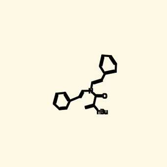 C=C(CCCC)C(=O)N(C=Cc1ccccc1)C=Cc1ccccc1